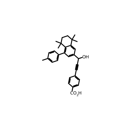 Cc1ccc(-c2cc(C(O)C#Cc3ccc(C(=O)O)cc3)cc3c2C(C)(C)CCC3(C)C)cc1